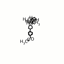 CCOC(=O)c1ccc(C2CCC(N[C@H]3C[C@H]4C[C@@H]([C@@H]3C)C4(C)C)CC2)cc1